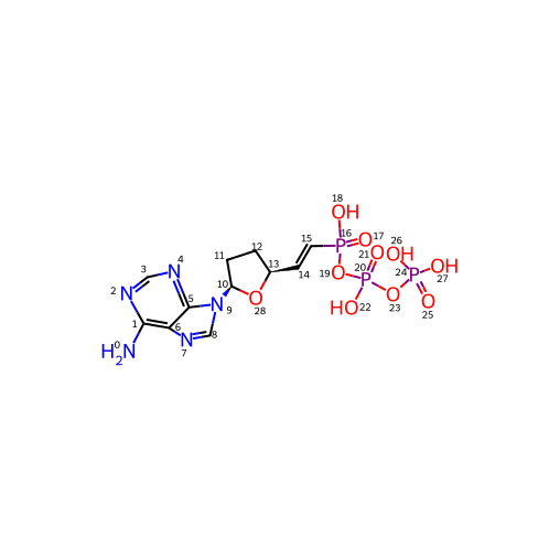 Nc1ncnc2c1ncn2[C@H]1CC[C@@H](/C=C/P(=O)(O)OP(=O)(O)OP(=O)(O)O)O1